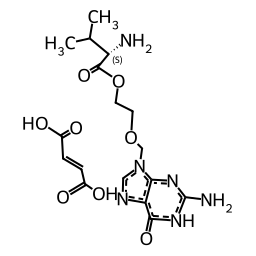 CC(C)[C@H](N)C(=O)OCCOCn1cnc2c(=O)[nH]c(N)nc21.O=C(O)C=CC(=O)O